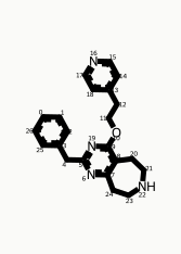 c1ccc(Cc2nc3c(c(OCCc4ccncc4)n2)CCNCC3)cc1